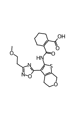 COCCc1noc(-c2c(NC(=O)C3=C(C(=O)O)CCCC3)sc3c2CCOC3)n1